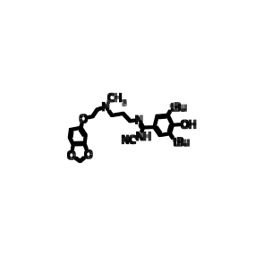 CN(CCCN=C(NC#N)c1cc(C(C)(C)C)c(O)c(C(C)(C)C)c1)CCOc1ccc2c(c1)OCO2